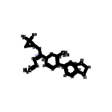 C=N/N=C(/CC1CC1(F)F)N1C=CC(c2ccc3c(c2)OCO3)=C(C)C1